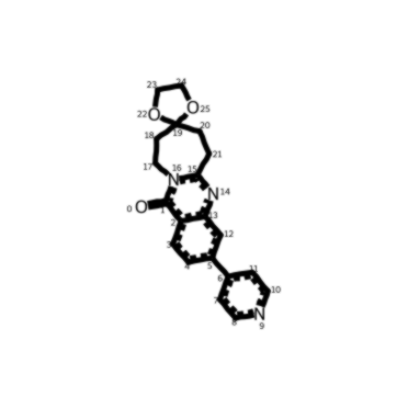 O=c1c2ccc(-c3ccncc3)cc2nc2n1CCC1(CC2)OCCO1